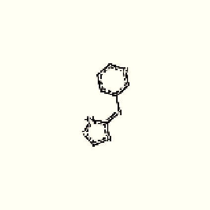 c1cncc(N=c2ncs[nH]2)c1